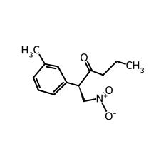 CCCC(=O)[C@@H](C[N+](=O)[O-])c1cccc(C)c1